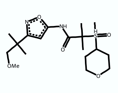 COCC(C)(C)c1cc(NC(=O)C(C)(C)[SH](C)(=O)C2CCOCC2)on1